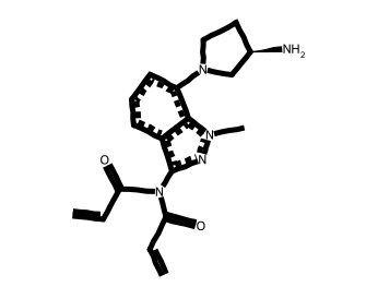 C=CC(=O)N(C(=O)C=C)c1nn(C)c2c(N3CC[C@@H](N)C3)cccc12